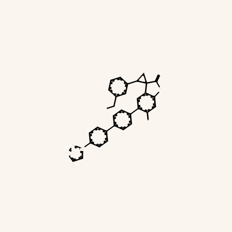 O=C(O)Cc1cccc(C2CC23C(=O)Nc2cc(F)c(-c4ccc(-c5ccc(-n6ccnn6)cc5)cc4)cc23)c1